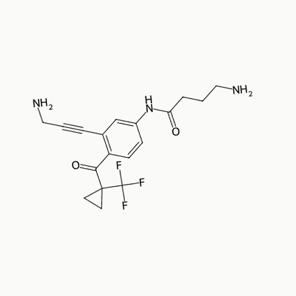 NCC#Cc1cc(NC(=O)CCCN)ccc1C(=O)C1(C(F)(F)F)CC1